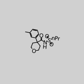 CCCS(=O)(=O)NC(=O)C1(c2cccc(C)c2)CCOCC1